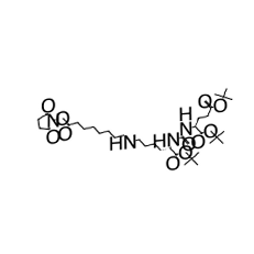 CC(C)(C)OC(=O)CC[C@H](NC(=O)N[C@@H](CCCCNCCCCCCCC(=O)ON1C(=O)CCC1=O)C(=O)OC(C)(C)C)C(=O)OC(C)(C)C